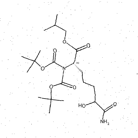 CC(C)COC(=O)[C@H](CCCC(O)C(N)=O)N(C(=O)OC(C)(C)C)C(=O)OC(C)(C)C